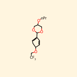 CCCOC1COC(C2=CCC(OCC(F)(F)F)C=C2)OC1